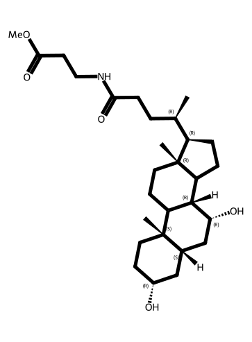 COC(=O)CCNC(=O)CC[C@@H](C)[C@H]1CCC2[C@H]3C(CC[C@@]21C)[C@@]1(C)CC[C@@H](O)C[C@H]1C[C@H]3O